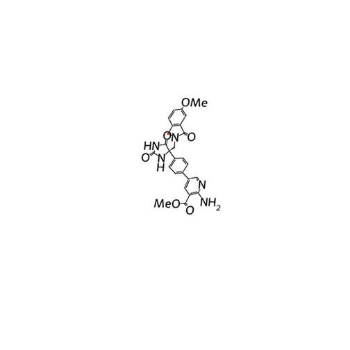 COC(=O)c1cc(-c2ccc([C@]3(CN4Cc5ccc(OC)cc5C4=O)NC(=O)NC3=O)cc2)cnc1N